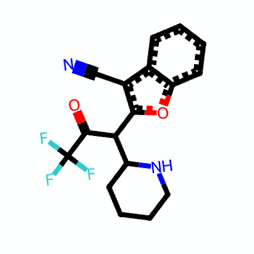 N#Cc1c(C(C(=O)C(F)(F)F)C2CCCCN2)oc2ccccc12